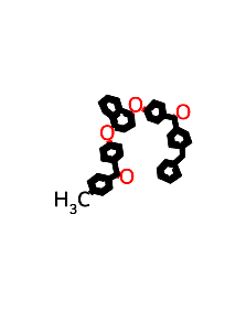 Cc1ccc(C(=O)c2ccc(Oc3ccc(Oc4ccc(C(=O)c5ccc(Cc6ccccc6)cc5)cc4)c4ccccc34)cc2)cc1